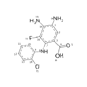 Nc1cc(C(=O)O)c(Nc2ccccc2Cl)c(F)c1N